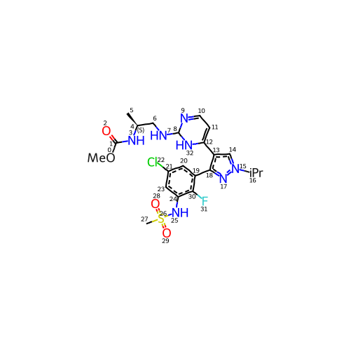 COC(=O)N[C@@H](C)CNC1N=CC=C(c2cn(C(C)C)nc2-c2cc(Cl)cc(NS(C)(=O)=O)c2F)N1